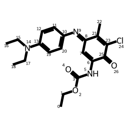 CCOC(=O)NC1=CC(=Nc2ccc(N(CC)CC)cc2)C(C)=C(Cl)C1=O